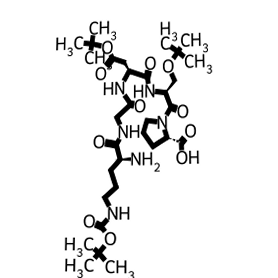 CC(C)(C)OC[C@H](NC(=O)[C@H](CC(=O)OC(C)(C)C)NC(=O)CNC(=O)[C@@H](N)CCCNC(=O)OC(C)(C)C)C(=O)N1CCC[C@H]1C(=O)O